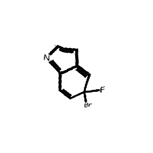 FC1(Br)C=CC2=N[C]=CC2=C1